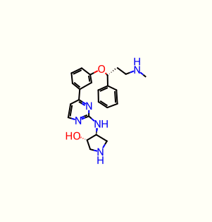 CNCC[C@@H](Oc1cccc(-c2ccnc(N[C@H]3CNC[C@@H]3O)n2)c1)c1ccccc1